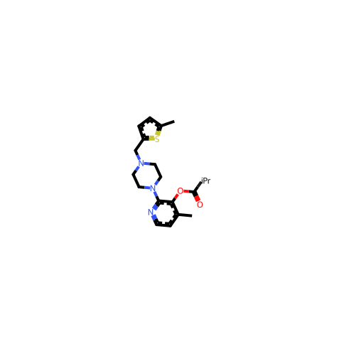 Cc1ccc(CN2CCN(c3nccc(C)c3OC(=O)C(C)C)CC2)s1